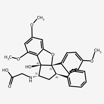 COc1ccc([C@]23Oc4cc(OC)cc(OC)c4[C@@]2(O)[C@@H](NCC(=O)O)C[C@@H]3c2ccccc2)cc1